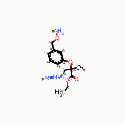 CCOC(=O)C(C)(CN=[N+]=[N-])Oc1cccc(CON)c1